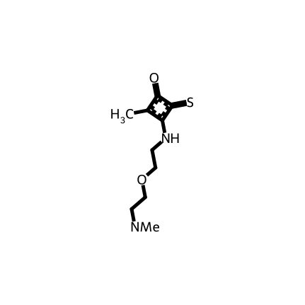 CNCCOCCNc1c(C)c(=O)c1=S